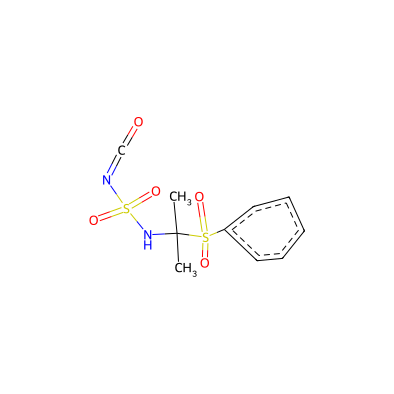 CC(C)(NS(=O)(=O)N=C=O)S(=O)(=O)c1ccccc1